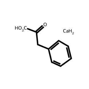 O=C(O)C(=O)Cc1ccccc1.[CaH2]